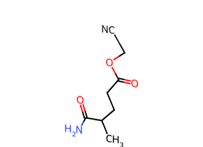 CC(CCC(=O)OCC#N)C(N)=O